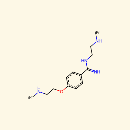 CC(C)NCCNC(=N)c1ccc(OCCNC(C)C)cc1